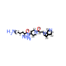 NCCCCC(N)C(=O)NC1CCN(C(=O)CCn2ccc3ccncc32)CC1